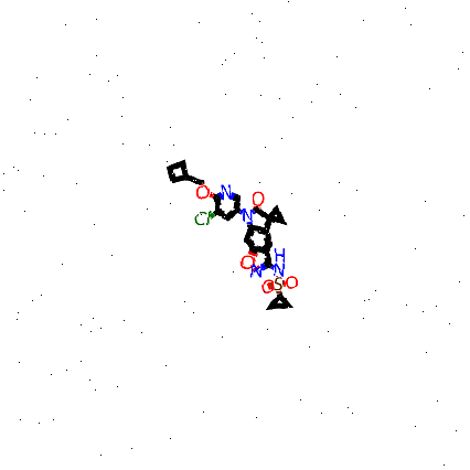 O=C1N(c2cnc(OCC3CCC3)c(Cl)c2)c2cc3onc(NS(=O)(=O)C4CC4)c3cc2C12CC2